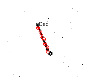 CCCCCCCCCCCCOCCOCCOCCOCCOCCOCCOc1ccccc1